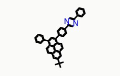 CC(C)(C)c1cc2ccc3c(-c4ccccc4)cc(-c4ccc(-c5cnc(-c6ccccc6)cn5)cc4)c4ccc(c1)c2c34